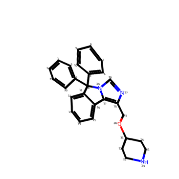 c1ccc(C2(c3ccccc3)c3ccccc3-c3c(COC4CCNCC4)ncn32)cc1